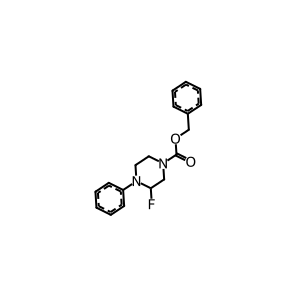 O=C(OCc1ccccc1)N1CCN(c2ccccc2)C(F)C1